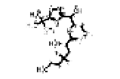 CCCC(F)(F)C[C@H](N)C(=O)N[C@@H](CC)C(O)c1noc(C(C)(C)C)n1